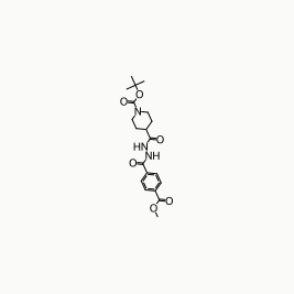 COC(=O)c1ccc(C(=O)NNC(=O)C2CCN(C(=O)OC(C)(C)C)CC2)cc1